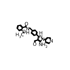 COc1ccccc1C(=O)NCc1ccc(C2NN(c3ccncc3)C(N)=C2C=O)cc1